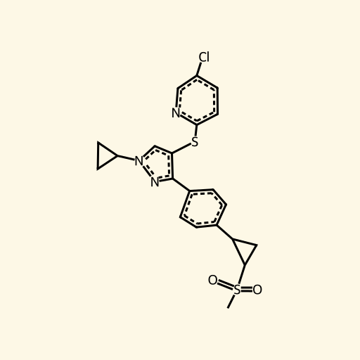 CS(=O)(=O)C1CC1c1ccc(-c2nn(C3CC3)cc2Sc2ccc(Cl)cn2)cc1